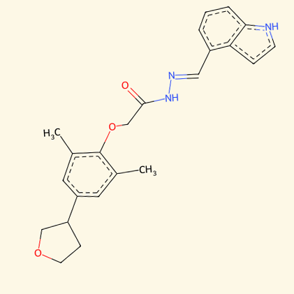 Cc1cc(C2CCOC2)cc(C)c1OCC(=O)NN=Cc1cccc2[nH]ccc12